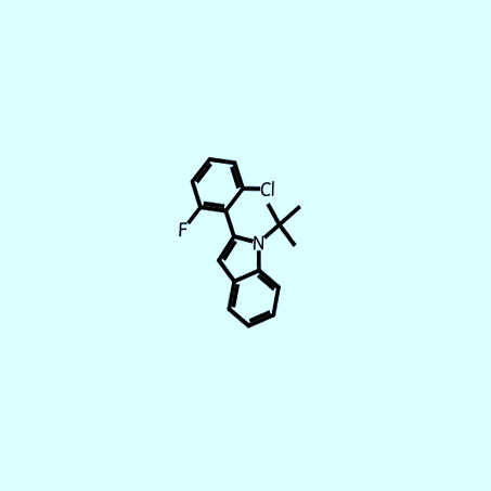 CC(C)(C)n1c(-c2c(F)cccc2Cl)cc2ccccc21